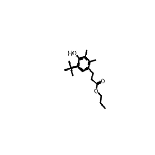 CCCOC(=O)CCc1cc(C(C)(C)C)c(O)c(C)c1C